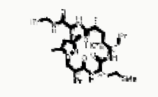 CSCC[C@H](NC(=O)[C@H](Cn1nc(C)cc1C)C(C)C)C(=O)N[C@@H](CC(C)C)[C@@H](O)C[C@@H](C)C(=O)N[C@H](C(=O)NCC(C)C)C(C)C